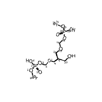 CC(C)OP(=O)(O)OCOCC(CO)COCOP(=O)(O)OC(C)C